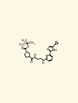 CC(C)(C)OC(=O)N1CCC(C(=O)NCCNc2cccc(-c3ncc(C4CC4)[nH]3)n2)C1